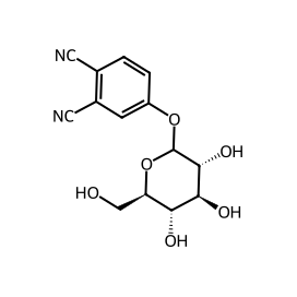 N#Cc1ccc(OC2O[C@H](CO)[C@@H](O)[C@H](O)[C@H]2O)cc1C#N